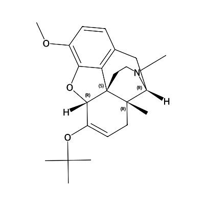 COc1ccc2c3c1O[C@H]1C(OC(C)(C)C)=CC[C@@]4(C)[C@@H](C2)N(C)CC[C@]314